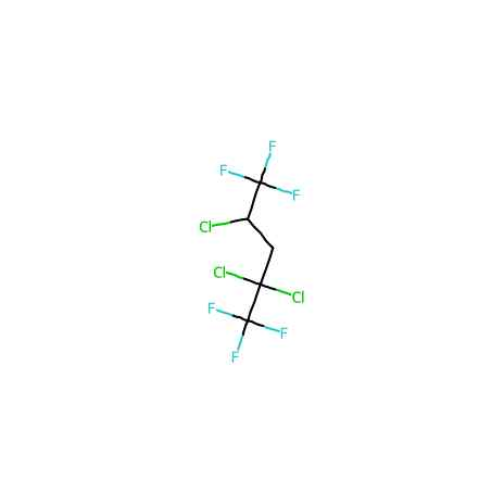 FC(F)(F)C(Cl)CC(Cl)(Cl)C(F)(F)F